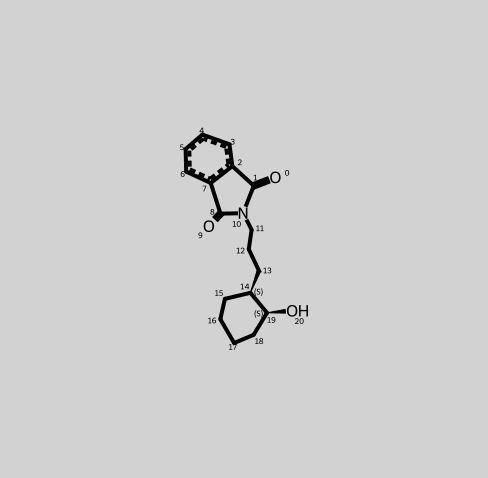 O=C1c2ccccc2C(=O)N1CCC[C@@H]1CCCC[C@@H]1O